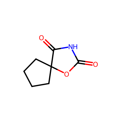 O=C1NC(=O)C2(CCCC2)O1